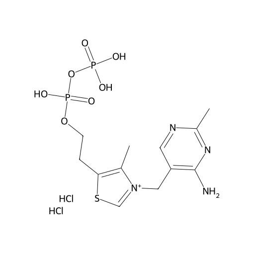 Cc1ncc(C[n+]2csc(CCOP(=O)(O)OP(=O)(O)O)c2C)c(N)n1.Cl.Cl